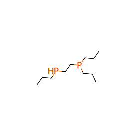 CCCPCCP(CCC)CCC